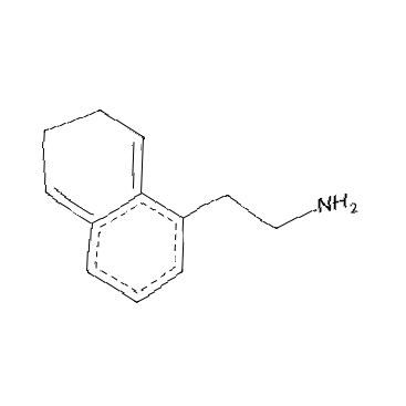 NCCc1cccc2c1=CCCC=2